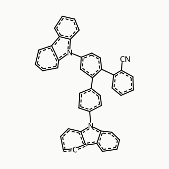 N#Cc1ccccc1-c1ccc(-n2c3ccccc3c3ccccc32)cc1-c1ccc(-n2c3ccccc3c3ccccc32)cc1